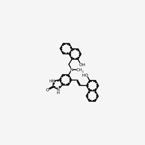 CN(Cc1c(O)ccc2ccccc12)c1cc2[nH]c(=O)[nH]c2cc1/C=C/c1c(O)ccc2ccccc12